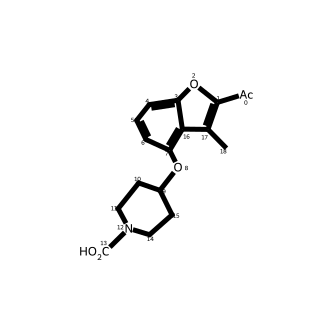 CC(=O)c1oc2cccc(OC3CCN(C(=O)O)CC3)c2c1C